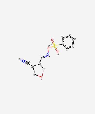 N#CC1COCC1C=NOS(=O)(=O)c1ccccc1